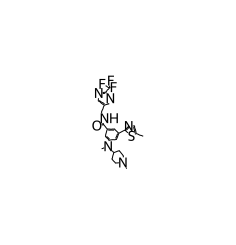 Cc1cnc(-c2cc(C(=O)NCc3cnc(C(F)(F)F)nc3)cc(N(C)C3CCN(C)CC3)c2)s1